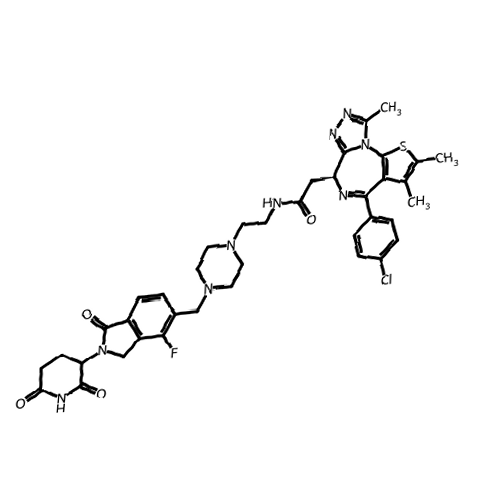 Cc1sc2c(c1C)C(c1ccc(Cl)cc1)=N[C@@H](CC(=O)NCCN1CCN(Cc3ccc4c(c3F)CN(C3CCC(=O)NC3=O)C4=O)CC1)c1nnc(C)n1-2